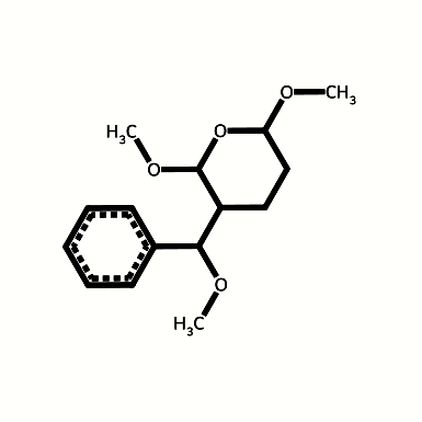 COC1CCC(C(OC)c2ccccc2)C(OC)O1